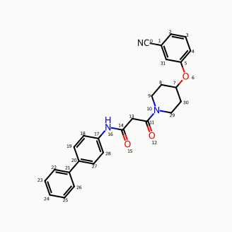 N#Cc1cccc(OC2CCN(C(=O)CC(=O)Nc3ccc(-c4ccccc4)cc3)CC2)c1